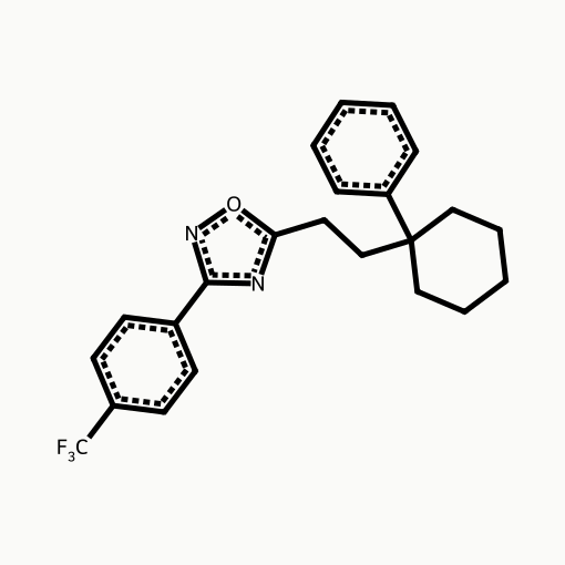 FC(F)(F)c1ccc(-c2noc(CCC3(c4ccccc4)CCCCC3)n2)cc1